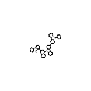 c1ccc(-n2c3ccccc3c3cc(-c4ccc5c(c4)c4ccccc4n5-c4cc(-c5cccc6c5oc5ccccc56)cc5ccccc45)ccc32)cc1